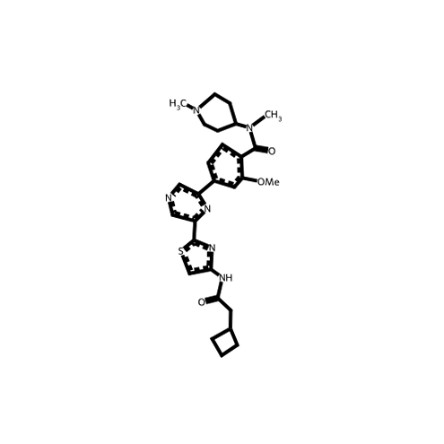 COc1cc(-c2cncc(-c3nc(NC(=O)CC4CCC4)cs3)n2)ccc1C(=O)N(C)C1CCN(C)CC1